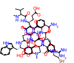 CNC(C(=O)N[C@@H](CCC(=O)O)C(=O)N(C)CC(=O)N[C@@H](Cc1ccc(O)cc1)C(=O)N(C)[C@@H](Cc1ccccc1)C(=O)N(C)CC(=O)N[C@@H](CCCNC(=N)N)C(=O)N[C@@H](CC(N)=O)C(=O)N[C@@H](C)C(=O)NCC(=O)N[C@@H](Cc1c[nH]c2ccccc12)C(=O)N[C@H](C(=O)N(C)[C@@H](Cc1ccccc1)C(=O)N1CCC[C@H]1C(=O)NCCS)[C@@H](C)O)C(C)C